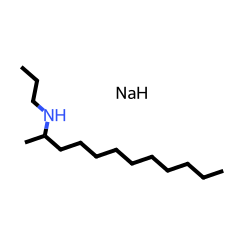 CCCCCCCCCCC(C)NCCC.[NaH]